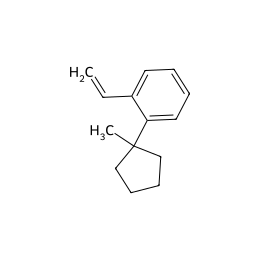 C=Cc1ccccc1C1(C)CCCC1